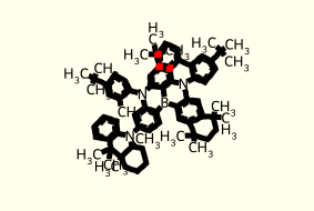 Cc1cc(C(C)(C)C)ccc1N1c2cc(N3c4ccccc4C(C)(C)C4(C)CCCCC34C)ccc2B2c3cc4c(cc3N(c3ccc(C(C)(C)C)cc3-c3ccccc3)c3cc(C(C)(C)C)cc1c32)C(C)(C)CCC4(C)C